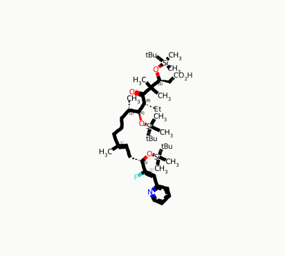 CC[C@@H](C(=O)C(C)(C)[C@H](CC(=O)O)O[Si](C)(C)C(C)(C)C)[C@@H](O[Si](C)(C)C(C)(C)C)[C@@H](C)CCC/C(C)=C/C[C@H](O[Si](C)(C)C(C)(C)C)/C(F)=C/c1ccccn1